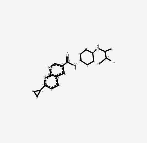 CC(N[C@H]1CC[C@H](NC(=O)c2cnc3nc(C4CC4)ccc3c2)CC1)C(F)F